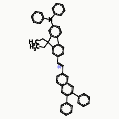 CCC1(CC)c2cc(/C=C/c3ccc4cc(-c5ccccc5)c(-c5ccccc5)cc4c3)ccc2-c2ccc(N(c3ccccc3)c3ccccc3)cc21